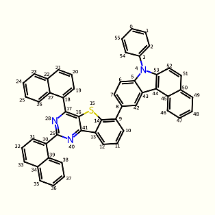 c1ccc(-n2c3ccc(-c4cccc5c4sc4c(-c6cccc7ccccc67)nc(-c6cccc7ccccc67)nc45)cc3c3c4ccccc4ccc32)cc1